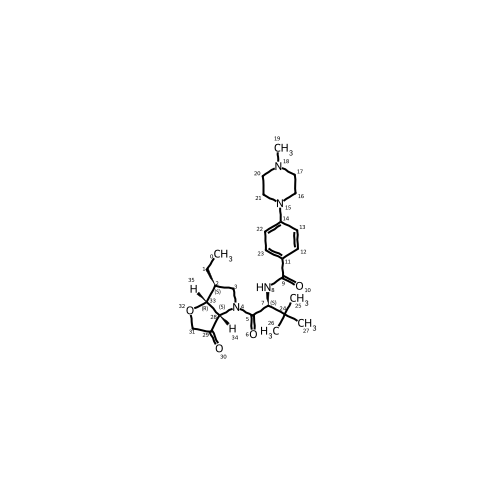 CC[C@H]1CN(C(=O)[C@@H](NC(=O)c2ccc(N3CCN(C)CC3)cc2)C(C)(C)C)[C@@H]2C(=O)CO[C@H]12